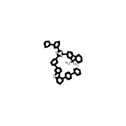 CC1(C)c2ccccc2-c2ccc(-c3nc(-c4cccc(-c5ccccc5)c4)nc(-c4cccc(-c5ccc6c(c5)oc5cccc(-c7ccc(-c8ccccc8)cc7)c56)c4)n3)cc21